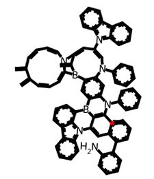 C=CC1=C2B(c3cc4c(cc3N1c1ccccc1)N(c1ccccc1)/C=C(n1c3ccccc3c3ccccc31)\C=C1/C(=C)B4/C3=C/C=C\C(=C)C(=C)/C=C\C=C/N31)c1cccc3c4ccccc4n(c13)/C2=C/c1ccccc1-c1ccccc1N